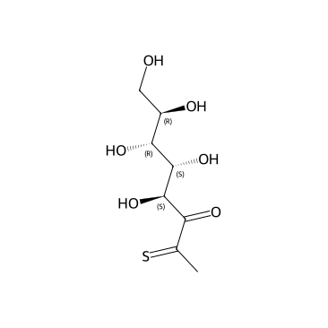 CC(=S)C(=O)[C@@H](O)[C@@H](O)[C@H](O)[C@H](O)CO